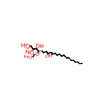 CCCCCCCCCCCCC/C=C/[C@@H](O)CCC[C@H](OCCO)C(O)C(O)CO